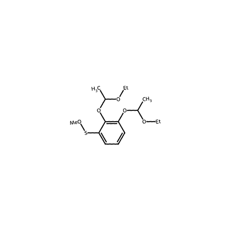 CCOC(C)Oc1cccc(SOC)c1OC(C)OCC